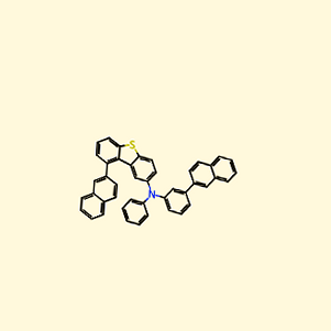 c1ccc(N(c2cccc(-c3ccc4ccccc4c3)c2)c2ccc3sc4cccc(-c5ccc6ccccc6c5)c4c3c2)cc1